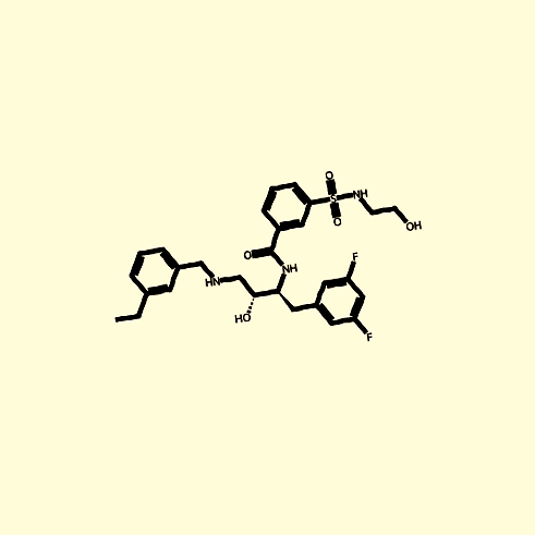 CCc1cccc(CNC[C@@H](O)[C@H](Cc2cc(F)cc(F)c2)NC(=O)c2cccc(S(=O)(=O)NCCO)c2)c1